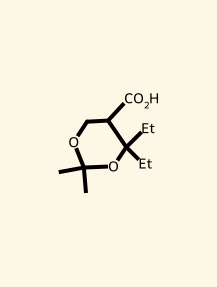 CCC1(CC)OC(C)(C)OCC1C(=O)O